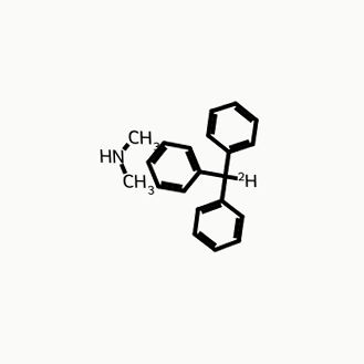 CNC.[2H]C(c1ccccc1)(c1ccccc1)c1ccccc1